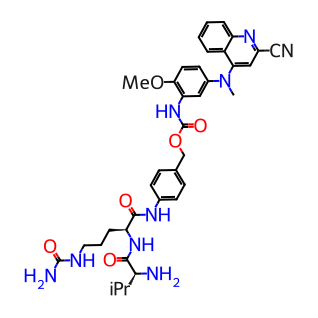 COc1ccc(N(C)c2cc(C#N)nc3ccccc23)cc1NC(=O)OCc1ccc(NC(=O)[C@H](CCCNC(N)=O)NC(=O)[C@@H](N)C(C)C)cc1